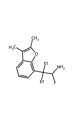 CCC(CC)(c1cccc2c(C)c(C)oc12)C(N)F